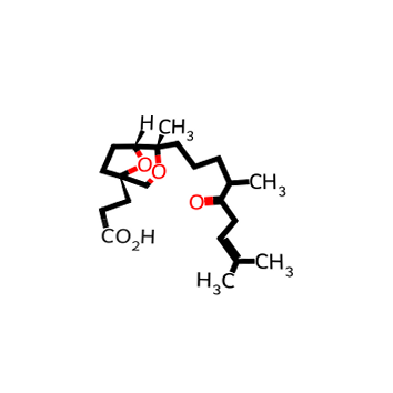 CC(C)=CCC(=O)C(C)CCC[C@]1(C)OC[C@]2(CCC(=O)O)CC[C@H]1O2